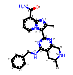 Cc1nc2c(C(N)=O)cccn2c1-c1nc2c(c(NCc3ccccc3)n1)CC(C)NC2